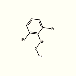 CC(C)c1cccc(C(C)C)c1NSC(C)(C)C